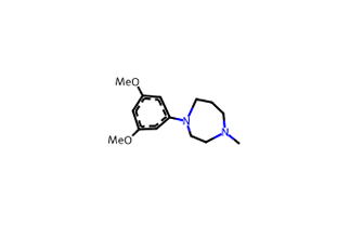 COc1cc(OC)cc(N2CCCN(C)CC2)c1